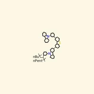 CCCCCC(C)(C)C(CC(C)(C)CCCC)c1cccc(-n2c3ccccc3c3cc(-c4ccc5sc6ccc(-c7cccc(-n8c9ccccc9c9ccccc98)c7)cc6c5c4)ccc32)c1